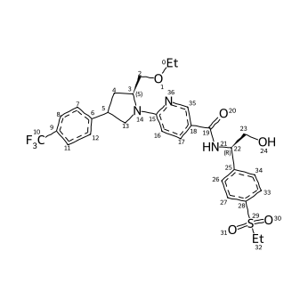 CCOC[C@@H]1CC(c2ccc(C(F)(F)F)cc2)CN1c1ccc(C(=O)N[C@@H](CO)c2ccc(S(=O)(=O)CC)cc2)cn1